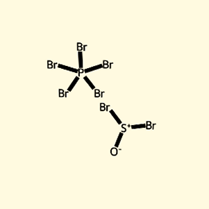 BrP(Br)(Br)(Br)Br.[O-][S+](Br)Br